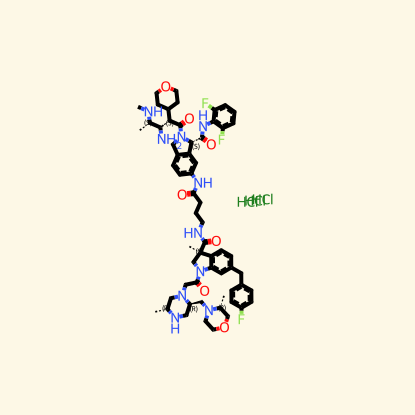 CN[C@@H](C)C(N)[C@@H](C(=O)N1Cc2ccc(NC(=O)CCCNC(=O)[C@]3(C)CN(C(=O)CN4C[C@@H](C)NC[C@@H]4CN4CCOC[C@H]4C)c4cc(Cc5ccc(F)cc5)ccc43)cc2[C@H]1C(=O)Nc1c(F)cccc1F)C1CCOCC1.Cl.Cl.Cl